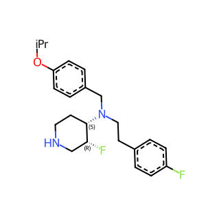 CC(C)Oc1ccc(CN(CCc2ccc(F)cc2)[C@H]2CCNC[C@H]2F)cc1